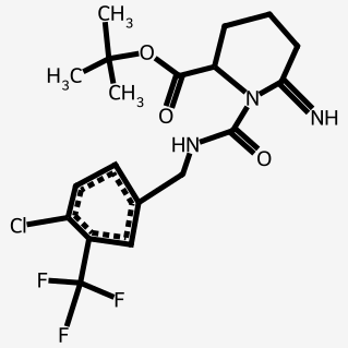 CC(C)(C)OC(=O)C1CCCC(=N)N1C(=O)NCc1ccc(Cl)c(C(F)(F)F)c1